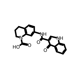 O=C(Nc1ccc2c(c1)N(C(=O)O)CCC2)c1c[nH]c2ccccc2c1=O